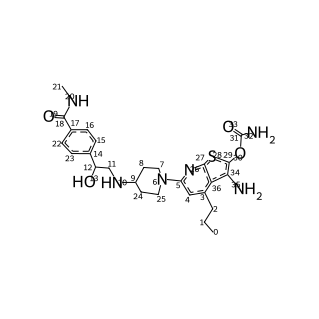 CCCc1cc(N2CCC(NCC(O)c3ccc(C(=O)NC)cc3)CC2)nc2sc(OC(N)=O)c(N)c12